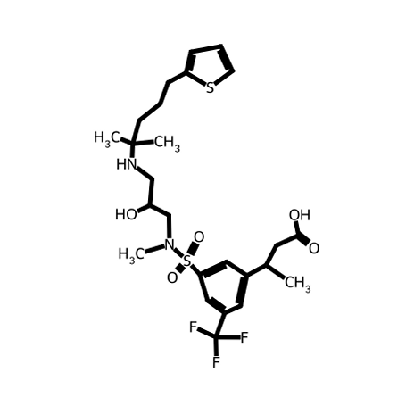 CC(CC(=O)O)c1cc(C(F)(F)F)cc(S(=O)(=O)N(C)CC(O)CNC(C)(C)CCCc2cccs2)c1